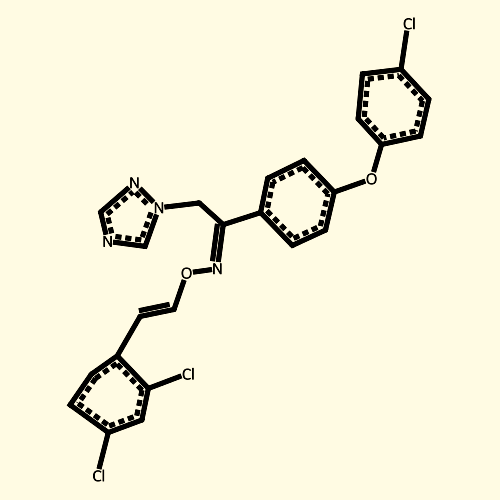 Clc1ccc(Oc2ccc(C(Cn3cncn3)=NOC=Cc3ccc(Cl)cc3Cl)cc2)cc1